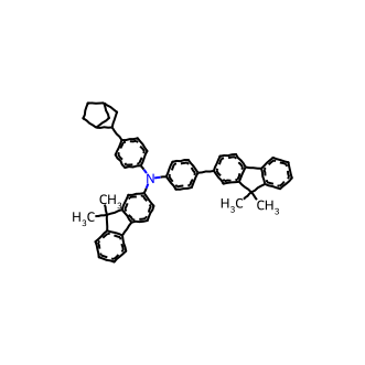 CC1(C)c2ccccc2-c2ccc(-c3ccc(N(c4ccc(C5CC6CCC5C6)cc4)c4ccc5c(c4)C(C)(C)c4ccccc4-5)cc3)cc21